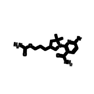 CC1(C)CC(CCCOC(N)=O)CN1c1nc(Br)ccc1C(N)=O